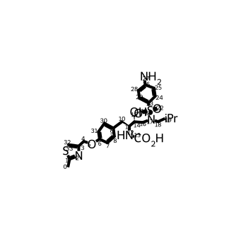 Cc1nc(COc2ccc(C[C@H](NC(=O)O)[C@H](O)CN(CC(C)C)S(=O)(=O)c3ccc(N)cc3)cc2)cs1